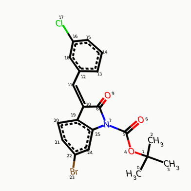 CC(C)(C)OC(=O)N1C(=O)C(=Cc2cccc(Cl)c2)c2ccc(Br)cc21